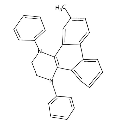 Cc1ccc2c(c1)c1c(c3ccccc32)N(c2ccccc2)CCN1c1ccccc1